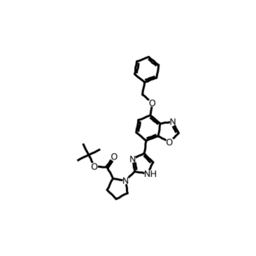 CC(C)(C)OC(=O)C1CCCN1c1nc(-c2ccc(OCc3ccccc3)c3ncoc23)c[nH]1